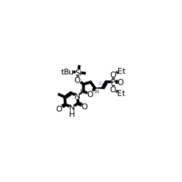 CCOP(=O)(/C=C/[C@@H]1CC(O[Si](C)(C)C(C)(C)C)[C@H](n2cc(C)c(=O)[nH]c2=O)O1)OCC